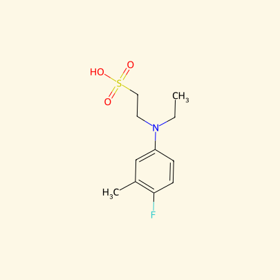 CCN(CCS(=O)(=O)O)c1ccc(F)c(C)c1